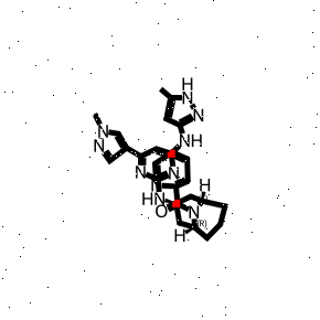 Cc1cc(Nc2cc(-c3cnn(C)c3)nc(N[C@@H]3C[C@H]4CCC[C@@H](C3)N4C(=O)c3ccccn3)n2)n[nH]1